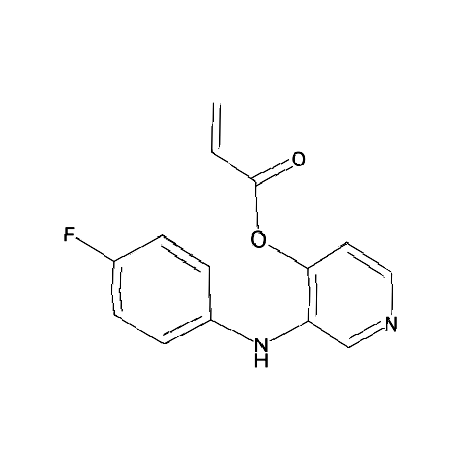 C=CC(=O)Oc1ccncc1Nc1ccc(F)cc1